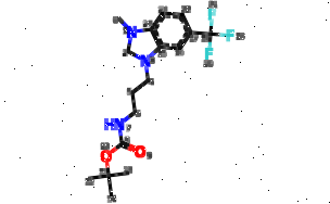 CN1CN(CCCNC(=O)OC(C)(C)C)c2cc(C(F)(F)F)ccc21